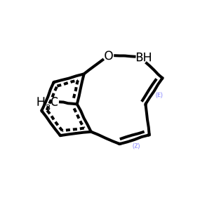 Cc1c2cccc1OB/C=C/C=C\2